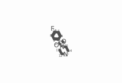 O=S(=O)(c1ccc(F)cc1)N1CC[N]CC1